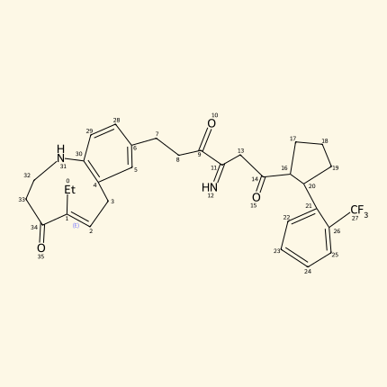 CC/C1=C\Cc2cc(CCC(=O)C(=N)CC(=O)C3CCCC3c3ccccc3C(F)(F)F)ccc2NCCC1=O